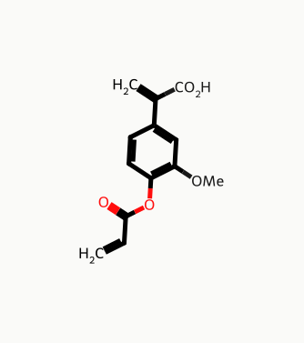 C=CC(=O)Oc1ccc(C(=C)C(=O)O)cc1OC